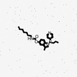 CCCCCCCNC(=O)Oc1ccc2c(c1)c(C)cn2N(CCC)c1ccncc1